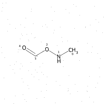 CNO[C]=O